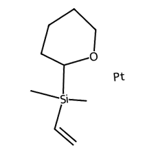 C=C[Si](C)(C)C1CCCCO1.[Pt]